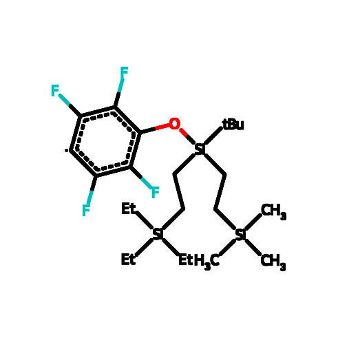 CC[Si](CC)(CC)CC[Si](CC[Si](C)(C)C)(Oc1c(F)c(F)[c]c(F)c1F)C(C)(C)C